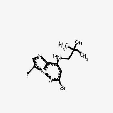 CC(C)(O)CNc1cc(Br)nn2c(I)cnc12